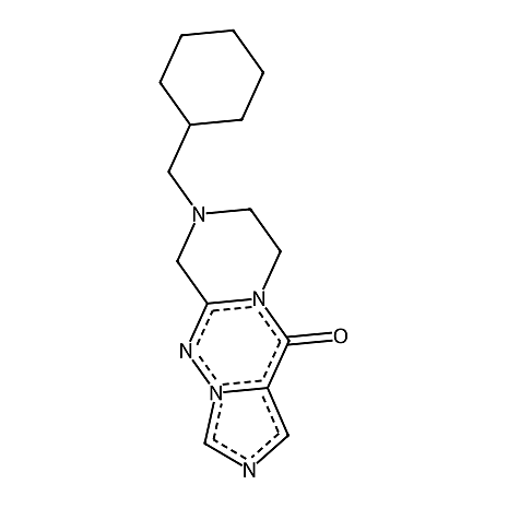 O=c1c2cncn2nc2n1CCN(CC1CCCCC1)C2